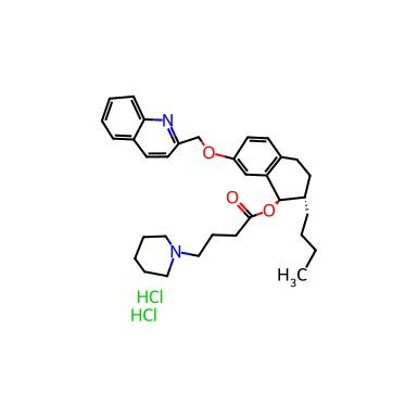 CCCC[C@H]1CCc2ccc(OCc3ccc4ccccc4n3)cc2[C@@H]1OC(=O)CCCN1CCCCC1.Cl.Cl